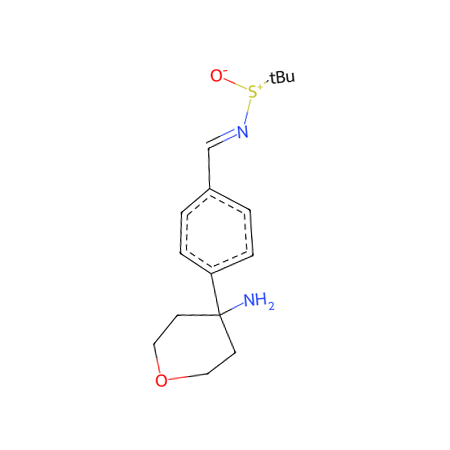 CC(C)(C)[S+]([O-])/N=C/c1ccc(C2(N)CCOCC2)cc1